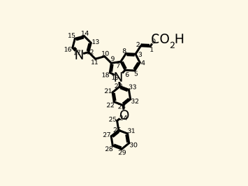 O=C(O)C=Cc1ccc2c(c1)c(CCc1ccccn1)cn2-c1ccc(OCc2ccccc2)cc1